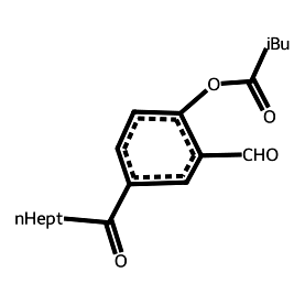 CCCCCCCC(=O)c1ccc(OC(=O)C(C)CC)c(C=O)c1